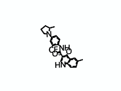 Cc1ccc2[nH]cc(C(=O)Nc3ccc(N4CCCC4C)cc3C(F)(F)F)c(=O)c2c1